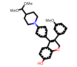 COc1cccc(C2=C(c3ccc(N4CCC(C(OC)OC)CC4)cc3)c3ccc(O)cc3OC2)c1